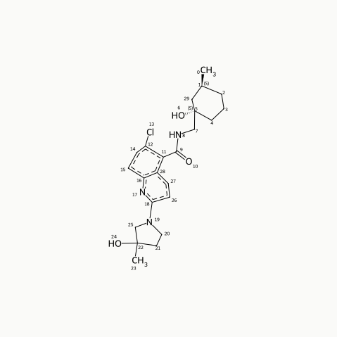 C[C@H]1CCC[C@@](O)(CNC(=O)c2c(Cl)ccc3nc(N4CCC(C)(O)C4)ccc23)C1